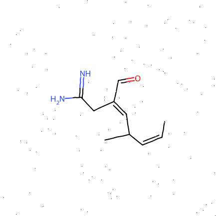 C/C=C\C(C)/C=C(/C=O)CC(=N)N